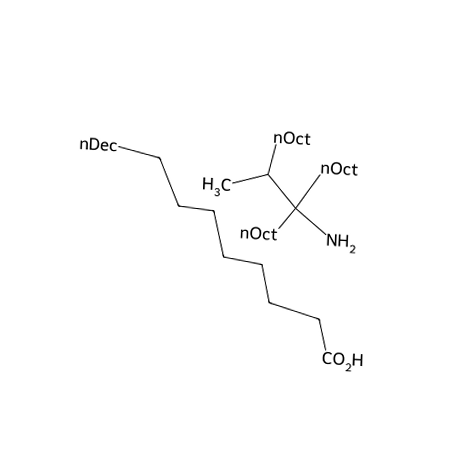 CCCCCCCCC(C)C(N)(CCCCCCCC)CCCCCCCC.CCCCCCCCCCCCCCCCCC(=O)O